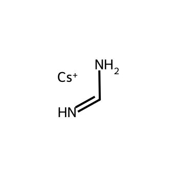 N=CN.[Cs+]